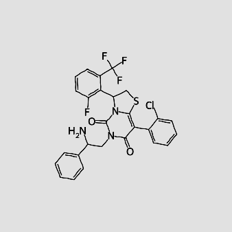 NC(Cn1c(=O)c(-c2ccccc2Cl)c2n(c1=O)C(c1c(F)cccc1C(F)(F)F)CS2)c1ccccc1